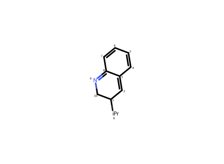 CC(C)C1C=c2ccccc2=NC1